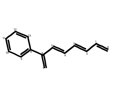 C=CC=CC=CC(=C)c1ccccc1